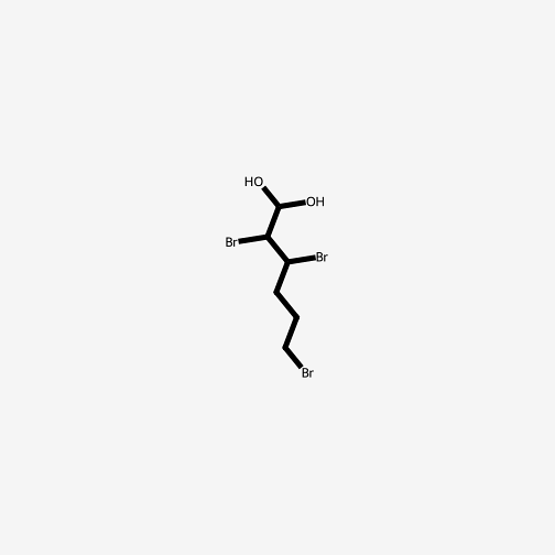 OC(O)C(Br)C(Br)CCCBr